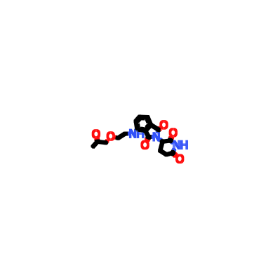 CC(=O)COCCNc1cccc2c1C(=O)N(C1CCC(=O)NC1=O)C2=O